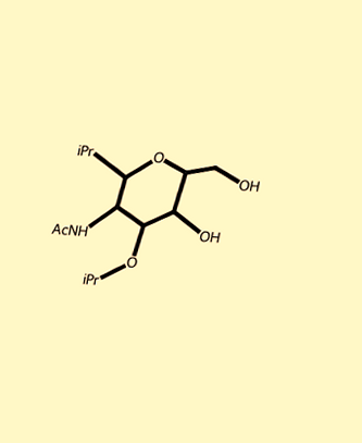 CC(=O)NC1C(C(C)C)OC(CO)C(O)C1OC(C)C